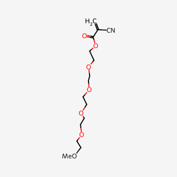 C=C(C#N)C(=O)OCCOCCOCCOCCOCCOC